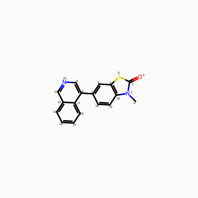 Cn1c(=O)sc2cc(-c3cncc4ccccc34)ccc21